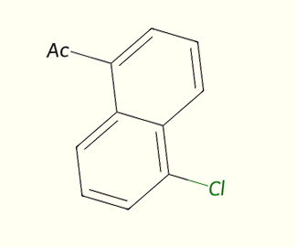 CC(=O)c1cccc2c(Cl)cccc12